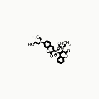 CCN(CCO)c1ccc2cc(S(=O)(=O)c3c(N(CC)CC)c(=O)oc4ccccc34)c(=O)oc2c1